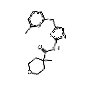 Cc1cccc(Cc2cnc(NC(=O)C3(C)CCOCC3)s2)c1